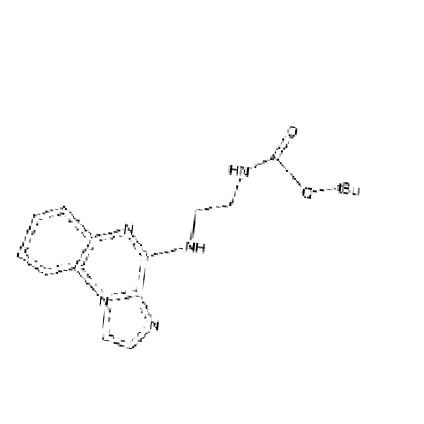 CC(C)(C)OC(=O)NCCNc1nc2ccccc2n2ccnc12